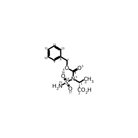 C[C@H](C(=O)O)N(C(=O)OCc1ccccc1)S(N)(=O)=O